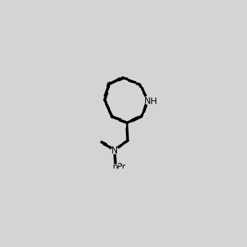 CCCN(C)CC1CCCCCNC1